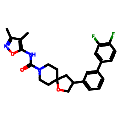 Cc1noc(NC(=O)N2CCC3(CC2)CC(c2cccc(-c4ccc(F)c(F)c4)c2)CO3)c1C